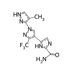 Cc1c[nH]nc1-n1cc(-c2cnc(C(N)=O)[nH]2)c(C(F)(F)F)n1